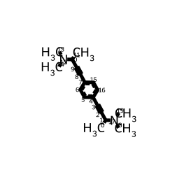 CC(C#Cc1ccc(C#CC(C)N(C)C)cc1)N(C)C